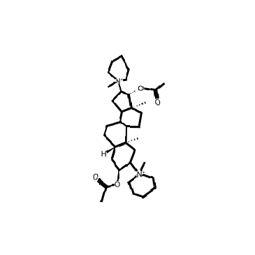 CC(=O)O[C@H]1C[C@@H]2CCC3C4CC([N+]5(C)CCCCC5)[C@H](OC(C)=O)[C@@]4(C)CCC3[C@@]2(C)CC1[N+]1(C)CCCCC1